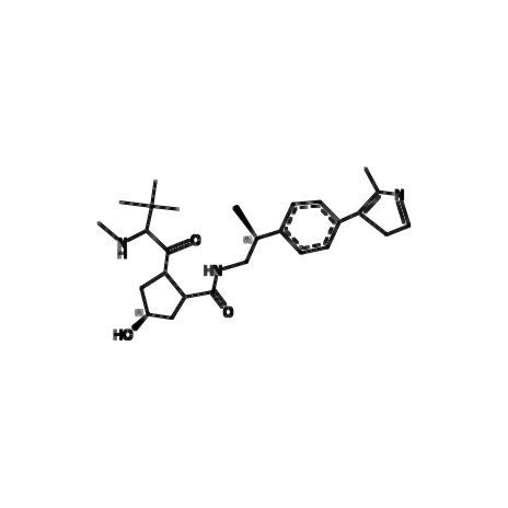 CNC(C(=O)C1C[C@H](O)CC1C(=O)NC[C@@H](C)c1ccc(C2=C(C)N=CC2)cc1)C(C)(C)C